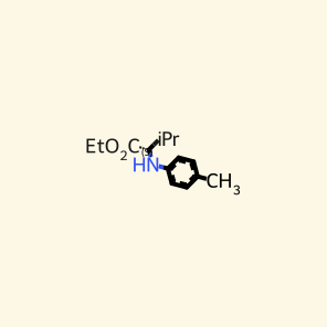 CCOC(=O)[C@@H](Nc1ccc(C)cc1)C(C)C